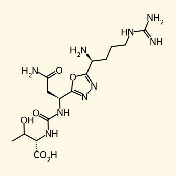 CC(O)[C@H](NC(=O)N[C@@H](CC(N)=O)c1nnc([C@@H](N)CCCNC(=N)N)o1)C(=O)O